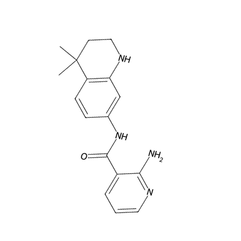 CC1(C)CCNc2cc(NC(=O)c3cccnc3N)ccc21